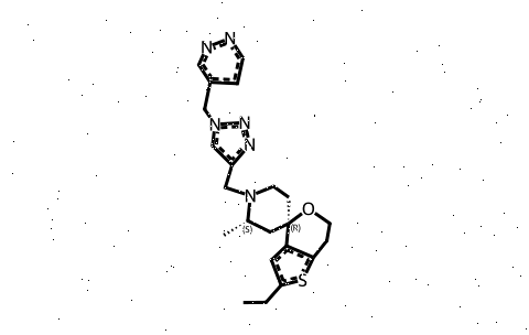 CCc1cc2c(s1)CCO[C@@]21CCN(Cc2cn(Cc3ccnnc3)nn2)[C@@H](C)C1